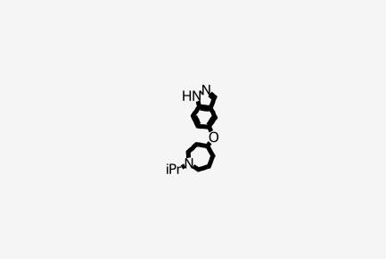 CC(C)N1CCCC(Oc2ccc3[nH]ncc3c2)CC1